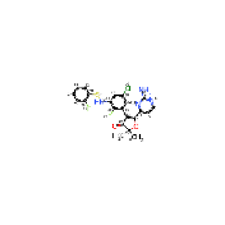 CC1(C)OC(c2ccnc(N)n2)=C(c2cc(Cl)cc(NSc3ccccc3F)c2F)C1=O